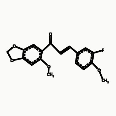 COc1ccc(/C=C/C(=O)c2cc3c(cc2OC)OCO3)cc1F